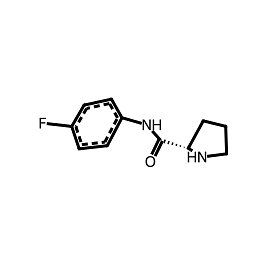 O=C(Nc1ccc(F)cc1)[C@@H]1CCCN1